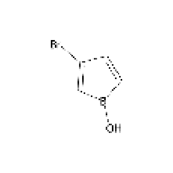 OB1C=CC(Br)=C1